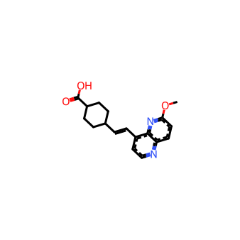 COc1ccc2nccc(C=CC3CCC(C(=O)O)CC3)c2n1